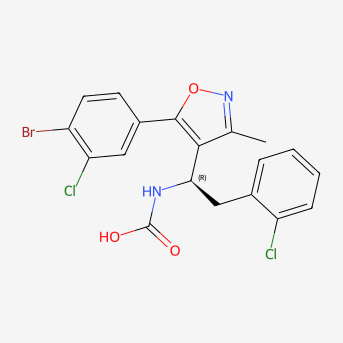 Cc1noc(-c2ccc(Br)c(Cl)c2)c1[C@@H](Cc1ccccc1Cl)NC(=O)O